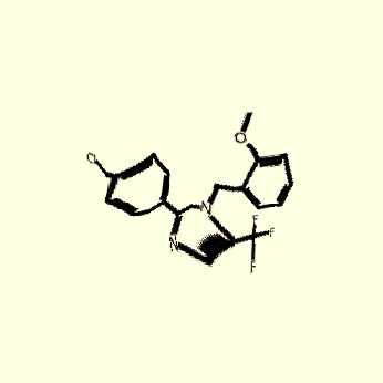 COc1ccccc1Cn1c(C(F)(F)F)cnc1-c1ccc(Cl)cc1